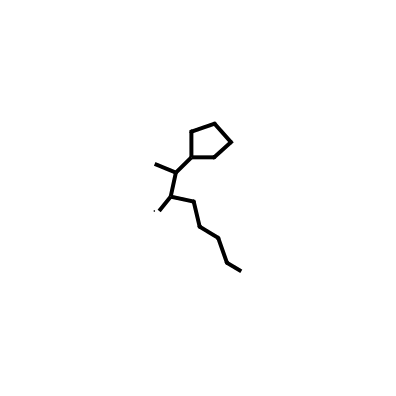 [CH2]C(CCCCC)C(C)C1CCCC1